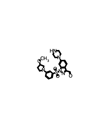 COC1CCN(c2cccc(S(=O)(=O)n3nc(C=O)c4ccc(N5CCNCC5)cc43)c2)C1